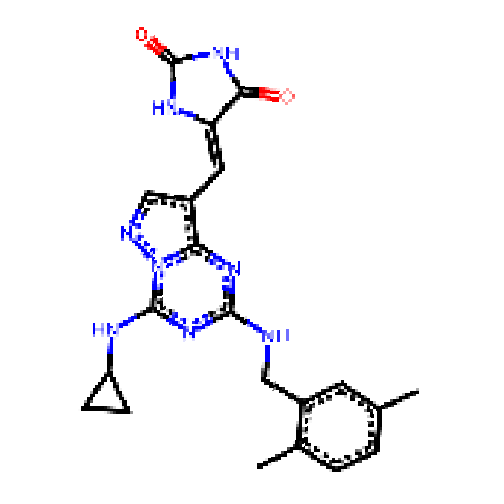 Cc1ccc(C)c(CNc2nc(NC3CC3)n3ncc(/C=C4\NC(=O)NC4=O)c3n2)c1